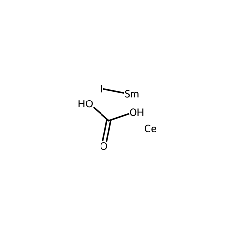 O=C(O)O.[Ce].[I][Sm]